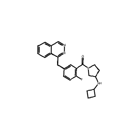 O=C(c1cc(Cc2nncc3ccccc23)ccc1F)N1CCC(NC2CCC2)C1